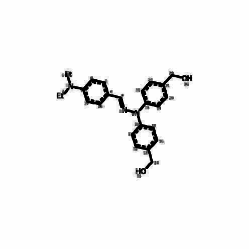 CCN(CC)c1ccc(C=NN(c2ccc(CO)cc2)c2ccc(CO)cc2)cc1